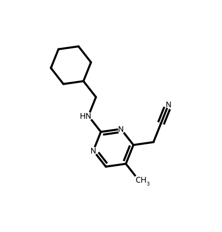 Cc1cnc(NCC2CCCCC2)nc1CC#N